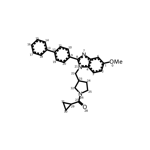 COc1ccc2c(c1)nc(-c1ccc(-c3ccccc3)cc1)n2CC1CCN(C(=O)C2CC2)C1